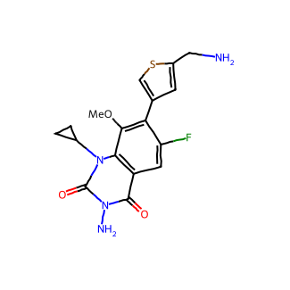 COc1c(-c2csc(CN)c2)c(F)cc2c(=O)n(N)c(=O)n(C3CC3)c12